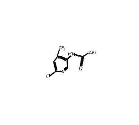 CC(C)(C)C(=O)Nc1cnc(Cl)cc1C(F)(F)F